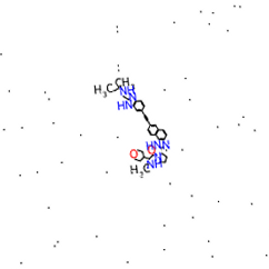 CC[C@H](C)NCc1nc2ccc(C#Cc3ccc4c(ccc5nc([C@@H]6CCCN6C(=O)[C@@H](NC)C6CCOCC6)[nH]c54)c3)cc2[nH]1